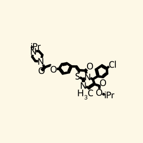 CC1=C(C(=O)OC(C)C)C(c2ccc(Cl)cc2)n2c(s/c(=C\c3ccc(OCC(=O)N4CCN(C(C)C)CC4)cc3)c2=O)=N1